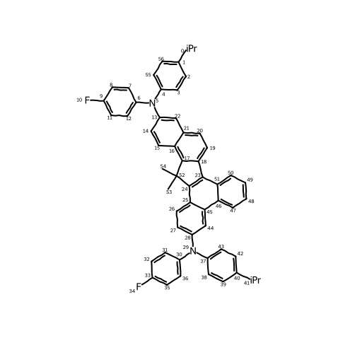 CC(C)c1ccc(N(c2ccc(F)cc2)c2ccc3c4c(ccc3c2)-c2c(c3ccc(N(c5ccc(F)cc5)c5ccc(C(C)C)cc5)cc3c3ccccc23)C4(C)C)cc1